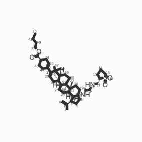 C=C(C)[C@@H]1CC[C@]2(NCCNC[C@@H]3CCCS3(=O)=O)CC[C@]3(C)[C@H](CC[C@@H]4[C@@]5(C)CC=C(C6=CC[C@H](C(=O)OCCCC)CC6)C(C)(C)[C@@H]5CC[C@]43C)[C@@H]12